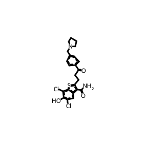 NC(=O)c1c(CCC(=O)c2ccc(CN3CCCC3)cc2)sc2c(Cl)c(O)c(Cl)cc12